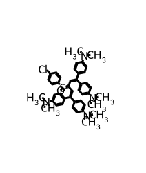 CN(C)c1ccc(C(=CC(C=C(c2ccc(N(C)C)cc2)c2ccc(N(C)C)cc2)[S+]([O-])c2ccc(Cl)cc2)c2ccc(N(C)C)cc2)cc1